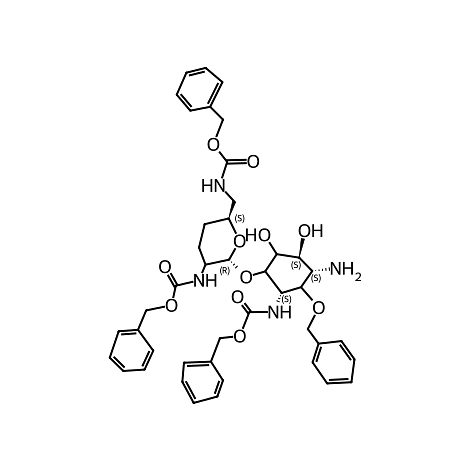 N[C@@H]1C(OCc2ccccc2)[C@H](NC(=O)OCc2ccccc2)C(O[C@H]2O[C@H](CNC(=O)OCc3ccccc3)CCC2NC(=O)OCc2ccccc2)C(O)[C@H]1O